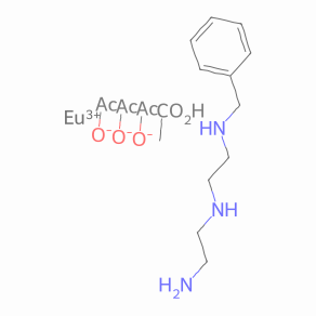 CC(=O)O.CC(=O)[O-].CC(=O)[O-].CC(=O)[O-].NCCNCCNCc1ccccc1.[Eu+3]